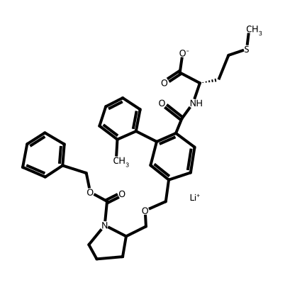 CSCC[C@H](NC(=O)c1ccc(COCC2CCCN2C(=O)OCc2ccccc2)cc1-c1ccccc1C)C(=O)[O-].[Li+]